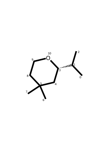 CC(C)[C@@H]1CC(C)(C)CCO1